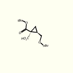 CCCCOC[C@@H]1C[C@]1(C(=O)O)C(=O)OC(C)(C)C